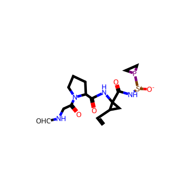 C=CC1CC1(NC(=O)C1CCCN1C(=O)CNC=O)C(=O)N[S+]([O-])P1CC1